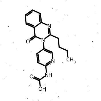 CCCCc1nc2ccccc2c(=O)n1-c1ccc(NC(=O)O)nc1